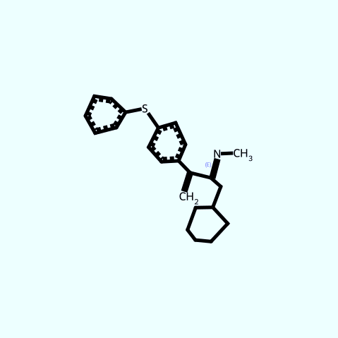 C=C(/C(CC1CCCCC1)=N/C)c1ccc(Sc2ccccc2)cc1